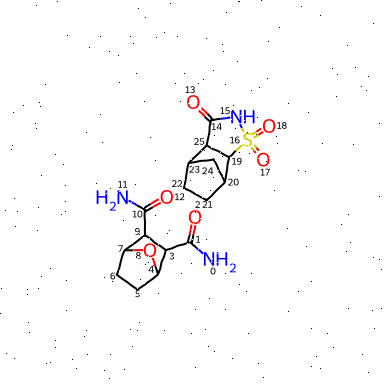 NC(=O)C1C2CCC(O2)C1C(N)=O.O=C1NS(=O)(=O)C2C3CCC(C3)C12